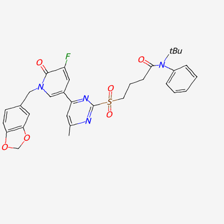 Cc1cc(-c2cc(F)c(=O)n(Cc3ccc4c(c3)OCO4)c2)nc(S(=O)(=O)CCCC(=O)N(c2ccccc2)C(C)(C)C)n1